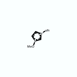 CCC[n+]1ccn(OC)c1